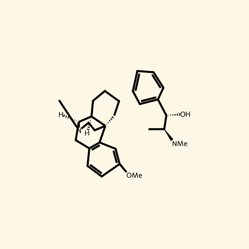 CN[C@@H](C)[C@@H](O)c1ccccc1.COc1ccc2c(c1)[C@]13CCCC[C@@H]1[C@H](C2)N(C)CC3